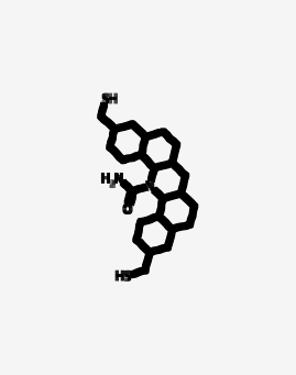 NC(=O)N1C2C(CCC3CC(CS)CCC32)CC2CCC3CC(CS)CCC3C21